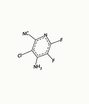 N#Cc1nc(F)c(F)c(N)c1Cl